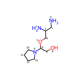 NCC(N)COC(CO)N1CCCC1